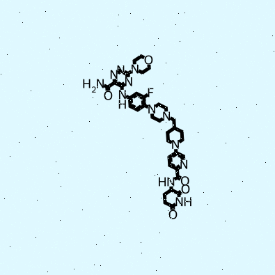 NC(=O)c1nnc(N2CCOCC2)nc1Nc1ccc(N2CCN(CC3CCN(c4ccc(C(=O)NC5CCC(=O)NC5=O)nc4)CC3)CC2)c(F)c1